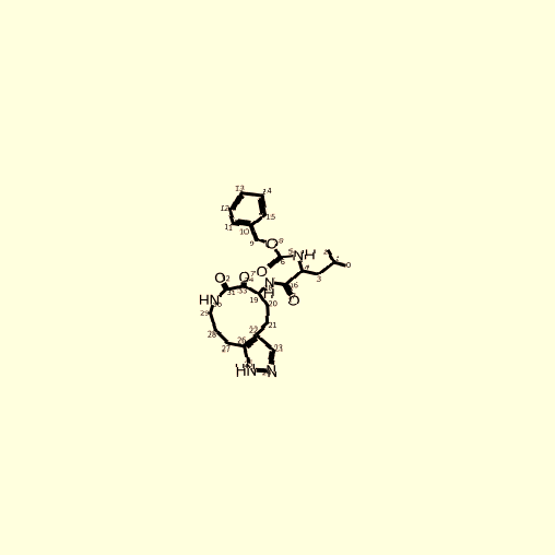 CC(C)CC(NC(=O)OCc1ccccc1)C(=O)NC1CCc2cn[nH]c2CCCNC(=O)C1=O